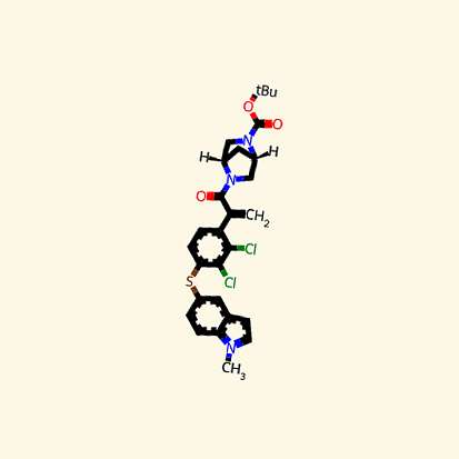 C=C(C(=O)N1C[C@@H]2C[C@H]1CN2C(=O)OC(C)(C)C)c1ccc(Sc2ccc3c(ccn3C)c2)c(Cl)c1Cl